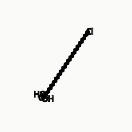 O=P(O)(O)CCCCCCCCCCCCCCCCCCCCCCCCCCCCCCCCCCCCCl